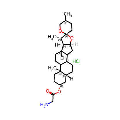 C[C@H]1CC[C@@]2(OC1)O[C@H]1CC3C4CC[C@@H]5C[C@H](OC(=O)CN)CC[C@]5(C)C4CC[C@]3(C)[C@H]1[C@@H]2C.Cl